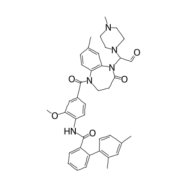 COc1cc(C(=O)N2CCC(=O)N(C(C=O)N3CCN(C)CC3)c3cc(C)ccc32)ccc1NC(=O)c1ccccc1-c1ccc(C)cc1C